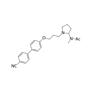 CC(=O)N(C)C1CCCN1CCCOc1ccc(-c2ccc(C#N)cc2)cc1